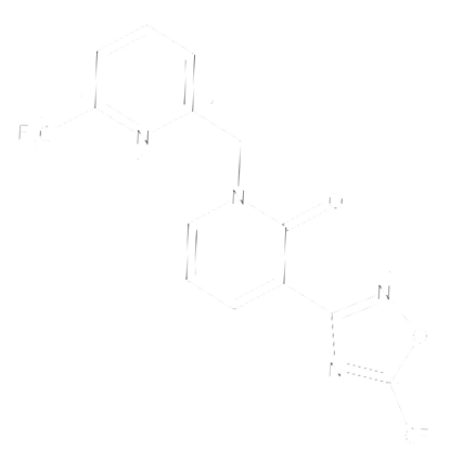 O=c1c(-c2noc(C(F)(F)F)n2)cccn1Cc1cccc(C(F)(F)F)n1